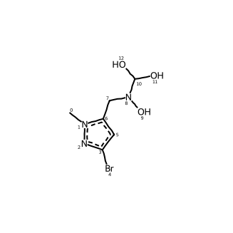 Cn1nc(Br)cc1CN(O)C(O)O